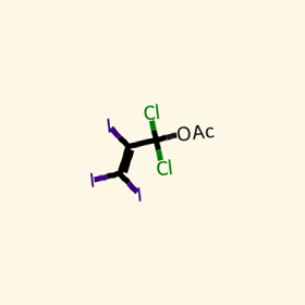 CC(=O)OC(Cl)(Cl)C(I)=C(I)I